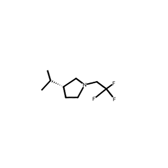 CC(C)[C@H]1CCN(CC(F)(F)F)C1